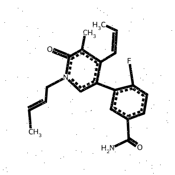 C/C=C\c1c(-c2cc(C(N)=O)ccc2F)cn(C/C=C/C)c(=O)c1C